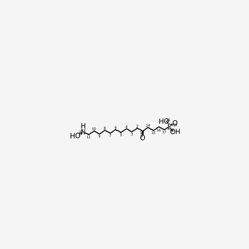 O=C(CCCCCCCCCCNO)CCCCP(=O)(O)O